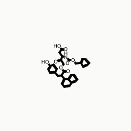 O=C(O)CC(NC(=O)OCc1ccccc1)C(=O)COC(=O)C(Cc1ccc(O)cc1)c1cccc2ccccc12